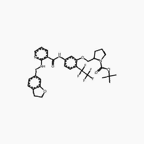 CC(C)(C)OC(=O)N1CCCC1COc1cc(NC(=O)c2cccnc2NCc2ccc3c(c2)OCC3)ccc1C(F)(F)C(F)(F)F